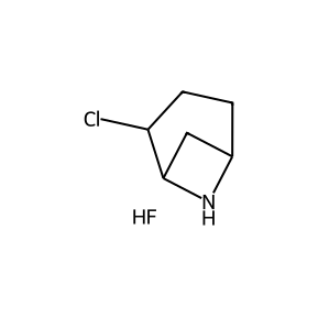 ClC1CCC2CC1N2.F